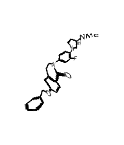 CN[C@@H]1CCN(c2ccc(N3CCc4cc(OCc5ccccc5)ccc4C3=O)cc2F)C1